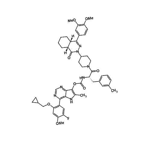 COc1cc(OCC2CC2)c(-c2ncnc3c(OC(=O)N[C@@H](Cc4cccc(C)c4)C(=O)N4CCC(N5N=C(c6ccc(OC)c(OC)c6)[C@H]6CCCC[C@H]6C5=O)CC4)c(C)[nH]c23)cc1F